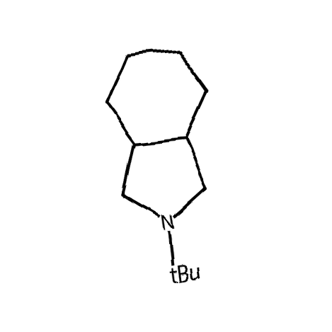 CC(C)(C)N1CC2CCCCC2C1